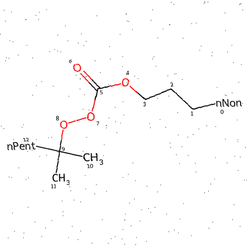 CCCCCCCCCCCCOC(=O)OOC(C)(C)CCCCC